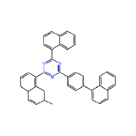 CC1C=CC2CC=CC(c3nc(-c4ccc(-c5cccc6ccccc56)cc4)nc(-c4cccc5ccccc45)n3)=C2C1